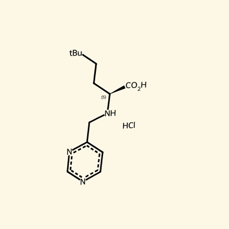 CC(C)(C)CC[C@H](NCc1ccncn1)C(=O)O.Cl